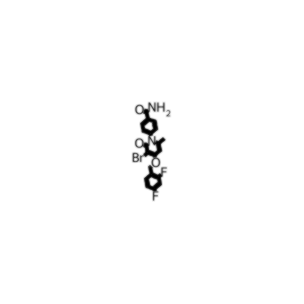 Cc1cc(OCc2ccc(F)cc2F)c(Br)c(=O)n1-c1ccc(C(N)=O)cc1